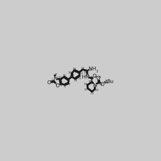 Cn1c(=O)oc2ccc(-c3ccc(C[C@@H](N)NC(=O)[C@@H]4CCCCN4C(=O)OC(C)(C)C)cc3)cc21